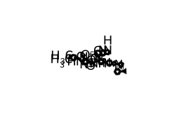 CC1(C)CCC(CNc2ncc(S(=O)(=O)NC(=O)c3ccc(N4CCC5(CC4)CC(N4CCC[C@@H]4c4ccccc4C4CC4)C5)cc3N3CCCOc4nc5[nH]ccc5cc43)cc2[N+](=O)[O-])CC1